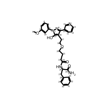 COc1cccc(-n2nc(-c3cccnc3)c(CCOCCCC(=O)NC(Cc3ccccc3)C(N)=O)c2O)c1